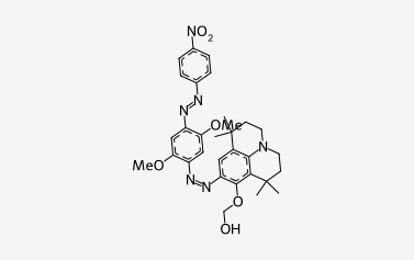 COc1cc(/N=N\c2cc3c4c(c2OCO)C(C)(C)CCN4CCC3(C)C)c(OC)cc1N=Nc1ccc([N+](=O)[O-])cc1